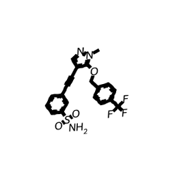 Cn1ncc(C#Cc2cccc(S(N)(=O)=O)c2)c1OCc1ccc(C(F)(F)F)cc1